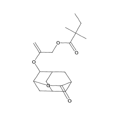 C=C(COC(=O)C(C)(C)CC)OC1C2CC3CC(C2)C(=O)OC1C3